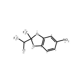 O=[N+]([O-])c1ccc2c(c1)OC(C(Cl)C(F)(F)F)(C(F)(F)F)O2